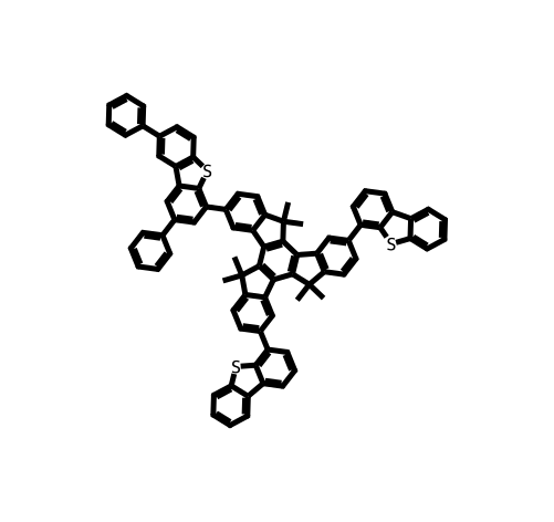 CC1(C)c2ccc(-c3cccc4c3sc3ccccc34)cc2-c2c1c1c(c3c2C(C)(C)c2ccc(-c4cc(-c5ccccc5)cc5c4sc4ccc(-c6ccccc6)cc45)cc2-3)C(C)(C)c2ccc(-c3cccc4c3sc3ccccc34)cc2-1